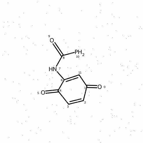 O=C1C=CC(=O)C(NC(=O)P)=C1